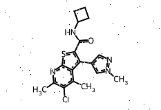 Cc1nc2sc(C(=O)NC3CCC3)c(-c3cnn(C)c3)c2c(C)c1Cl